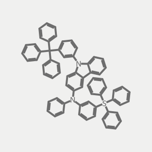 c1ccc(N(c2cccc(S(c3ccccc3)(c3ccccc3)c3ccccc3)c2)c2ccc3c(c2)c2ccccc2n3-c2cccc(C(c3ccccc3)(c3ccccc3)c3ccccc3)c2)cc1